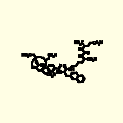 O=C(O)CC[C@H](NC(=O)NC(CCCCNC(=O)C(Cc1ccc2ccccc2c1)NC(=O)c1ccc(CNC(=O)/C2=N\CCN(CC(=O)O)CCN(CC(=O)O)CCN(CC(=O)O)C2)nc1)C(=O)O)C(=O)O